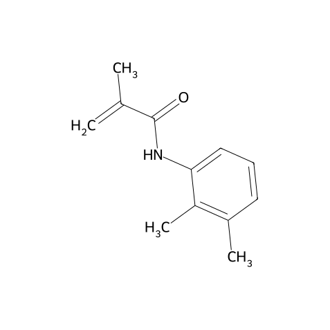 C=C(C)C(=O)Nc1cccc(C)c1C